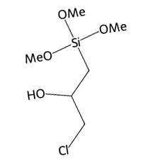 CO[Si](CC(O)CCl)(OC)OC